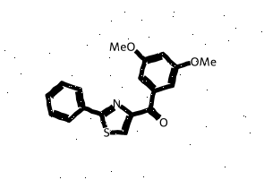 COc1cc(OC)cc(C(=O)c2csc(-c3ccccc3)n2)c1